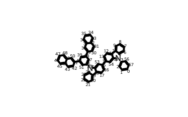 c1ccc(-n2c3ccccc3c3ccc(-c4ccc5c6ccccc6n(-c6cc(-c7ccc8ccccc8c7)cc(-c7ccc8ccccc8c7)c6)c5c4)cc32)cc1